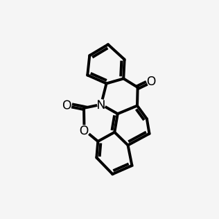 O=c1c2ccccc2n2c(=O)oc3cccc4ccc1c2c43